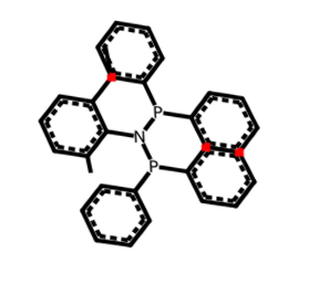 CCc1cccc(C)c1N(P(c1ccccc1)c1ccccc1)P(c1ccccc1)c1ccccc1